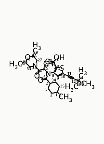 CC1CCC(C(=O)N(c2cc(C#CC(C)(C)C)sc2C(=O)O)[C@@H](C)C(=O)N2C[C@@H](C)O[C@@H](C)C2)CC1